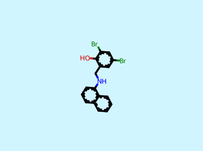 Oc1c(Br)cc(Br)cc1CNc1cccc2ccccc12